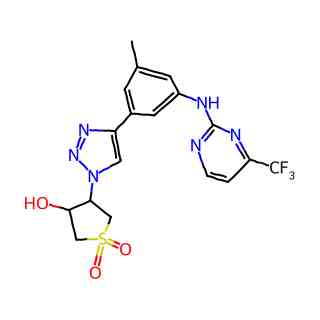 Cc1cc(Nc2nccc(C(F)(F)F)n2)cc(-c2cn(C3CS(=O)(=O)CC3O)nn2)c1